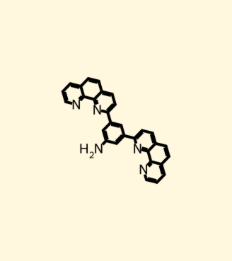 Nc1cc(-c2ccc3ccc4cccnc4c3n2)cc(-c2ccc3ccc4cccnc4c3n2)c1